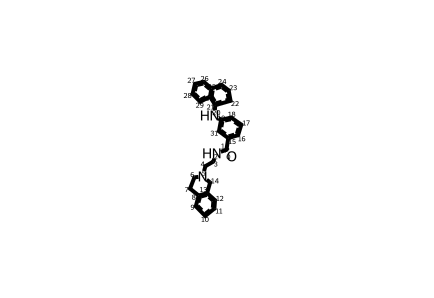 O=C(NCCN1CCc2ccccc2C1)c1cccc(Nc2cccc3ccccc23)c1